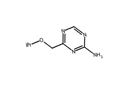 CC(C)OCc1ncnc(N)n1